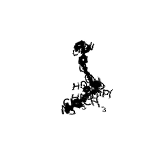 Cc1ncsc1-c1ccc(C(C)NC(=O)[C@@H]2C[C@@H](O)CN2C(=O)C(c2cc(OCCCOc3ccc(-c4cnnc(-c5ccccc5O)c4)cc3)no2)C(C)C)cc1